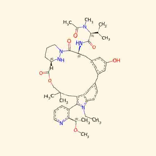 CCn1c(-c2cccnc2[C@H](C)OC)c2c3cc(ccc31)-c1cc(O)cc(c1)C[C@H](NC(=O)[C@H](C(C)C)N(C)C(C)=O)C(=O)N1CCC[C@H](N1)C(=O)OCC(C)(C)C2